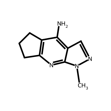 Cn1ncc2c(N)c3c(nc21)CCC3